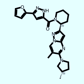 Cc1cn2nc([C@@H]3CCCCN3C(=O)c3cc(-c4ccco4)n[nH]3)cc2nc1N1CC[C@H](C)C1